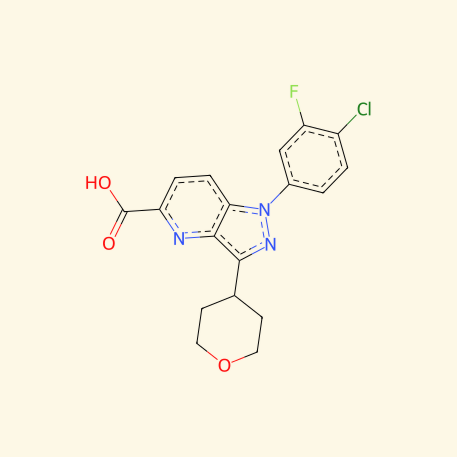 O=C(O)c1ccc2c(n1)c(C1CCOCC1)nn2-c1ccc(Cl)c(F)c1